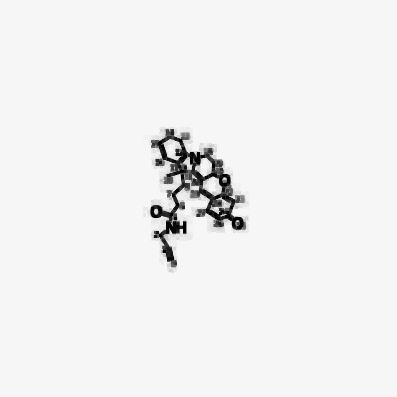 C#CCNC(=O)CCCC1(C)C2=C(CCC=C2)N2CCC3OC4=CC(=O)C=CC4=CC3=C21